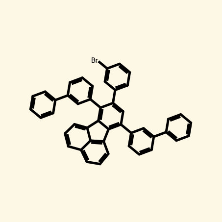 Brc1cccc(-c2cc(-c3cccc(-c4ccccc4)c3)c3c(c2-c2cccc(-c4ccccc4)c2)-c2cccc4cccc-3c24)c1